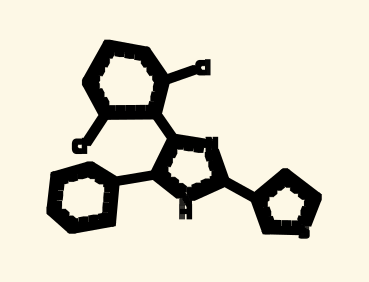 Clc1cccc(Cl)c1-c1nc(-c2ccsc2)[nH]c1-c1ccccc1